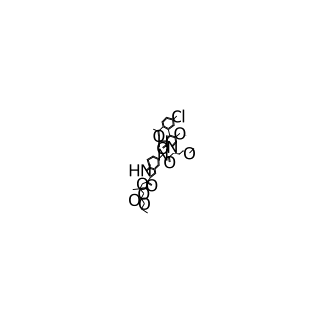 CCOC(=O)OC(C)OC(=O)c1cc2cc(NC(=O)[C@H](CCOC)n3cc(OC)c(-c4cc(Cl)ccc4C(C)=O)cc3=O)ccc2[nH]1